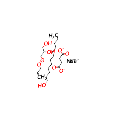 C=CCOOCC(O)CO.CCCCCCCCCCCCO.O=C([O-])CCC(=O)[O-].[Na+].[Na+]